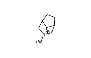 CC(C)(C)C1C2CCC1CN(C(C)(C)C)C2